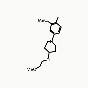 COCCOC1CCN(c2ccc(C)c(OC)c2)CC1